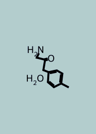 Cc1ccc(CC(=O)CN)cc1.O